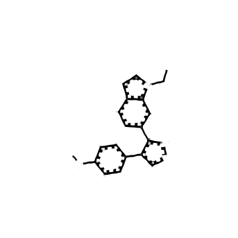 CCn1ccc2ccc(-c3nscc3-c3ccc(OC)cc3)cc21